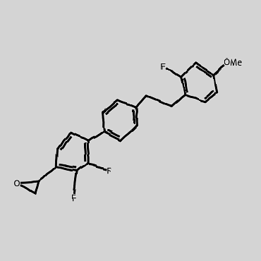 COc1ccc(CCc2ccc(-c3ccc(C4CO4)c(F)c3F)cc2)c(F)c1